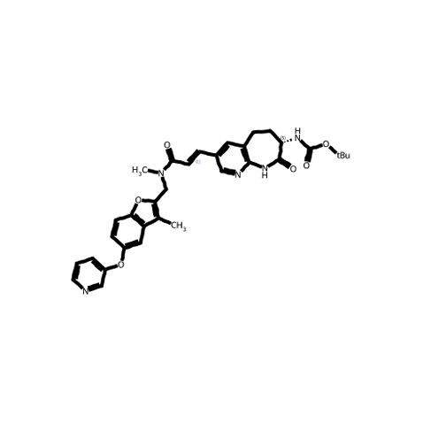 Cc1c(CN(C)C(=O)/C=C/c2cnc3c(c2)CC[C@H](NC(=O)OC(C)(C)C)C(=O)N3)oc2ccc(Oc3cccnc3)cc12